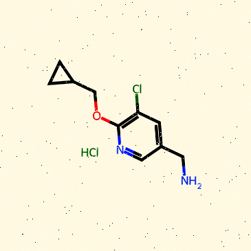 Cl.NCc1cnc(OCC2CC2)c(Cl)c1